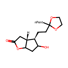 CCCCCC1(CC[C@H]2C(O)CC3OC(=O)C[C@@H]32)OCCO1